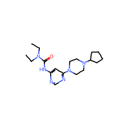 CCN(CC)C(=O)Nc1cc(N2CCN(C3CCCC3)CC2)ncn1